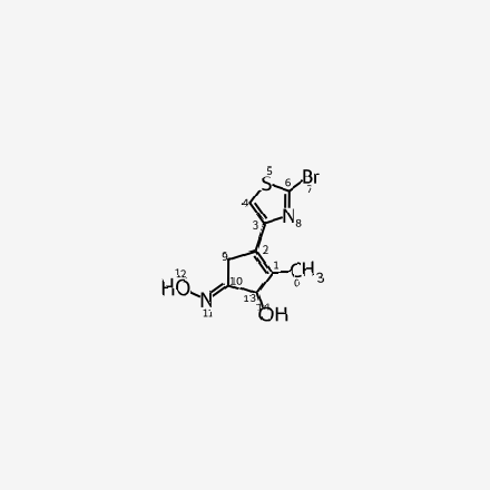 CC1=C(c2csc(Br)n2)C/C(=N\O)C1O